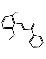 COc1cccc(O)c1C=CC(=O)c1cccnc1